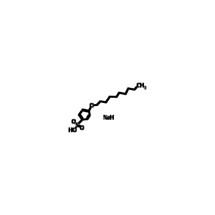 CCCCCCCCCCOc1ccc(S(=O)(=O)O)cc1.[NaH]